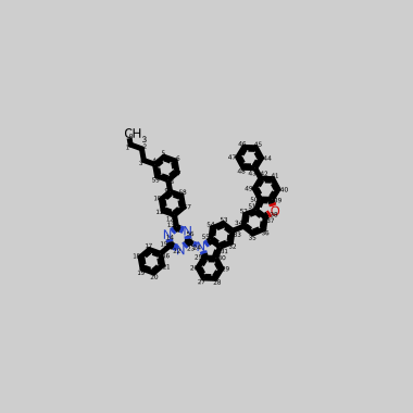 CCCCc1cccc(-c2ccc(-c3nc(-c4ccccc4)nc(-n4c5ccccc5c5cc(-c6ccc7oc8ccc(-c9ccccc9)cc8c7c6)ccc54)n3)cc2)c1